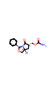 NC(=O)OC[C@@H]1C[C@@H]2CO[C@@H](c3ccccc3)N2C1=O